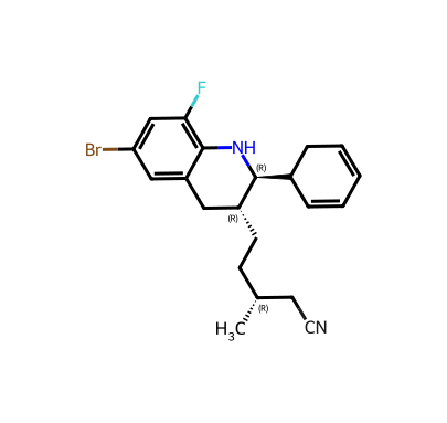 C[C@@H](CC#N)CC[C@@H]1Cc2cc(Br)cc(F)c2N[C@H]1C1C=CC=CC1